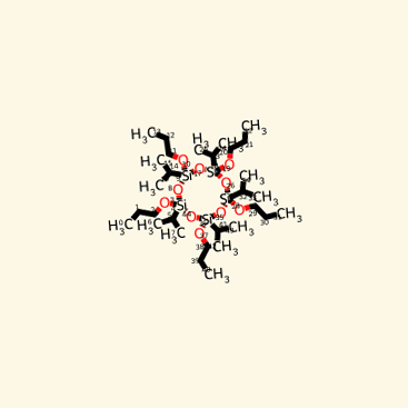 CCCO[Si]1(C(C)C)O[Si](OCCC)(C(C)C)O[Si](OCCC)(C(C)C)O[Si](OCCC)(C(C)C)O[Si](OCCC)(C(C)C)O1